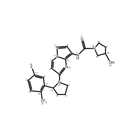 O=C(Nc1cnn2ccc(N3CCCC3c3cc(F)ccc3C(F)(F)F)nc12)N1CCC(O)C1